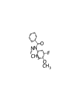 C/C=N\N(C(=O)c1ccccc1)c1ccc(OC)c(F)c1